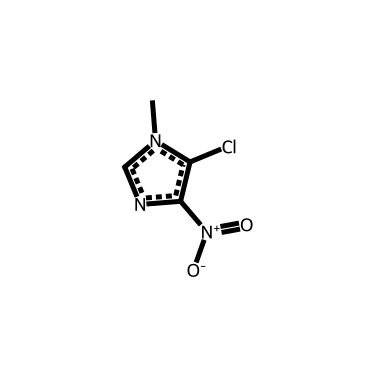 Cn1cnc([N+](=O)[O-])c1Cl